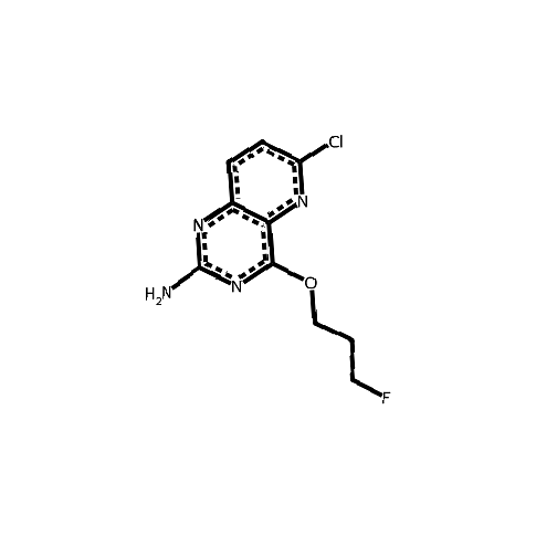 Nc1nc(OCCCF)c2nc(Cl)ccc2n1